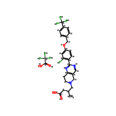 CC(CC(=O)O)CN1CCc2nc(-c3ccc(OCc4ccc(C(F)(F)F)cc4)cc3F)ncc2C1.O=C(O)C(F)(F)F